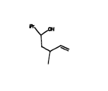 C=CC(C)CC(O)C(C)C